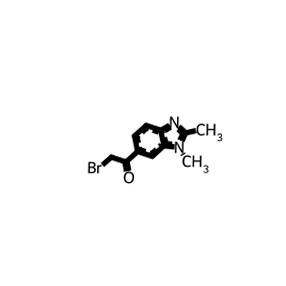 Cc1nc2ccc(C(=O)CBr)cc2n1C